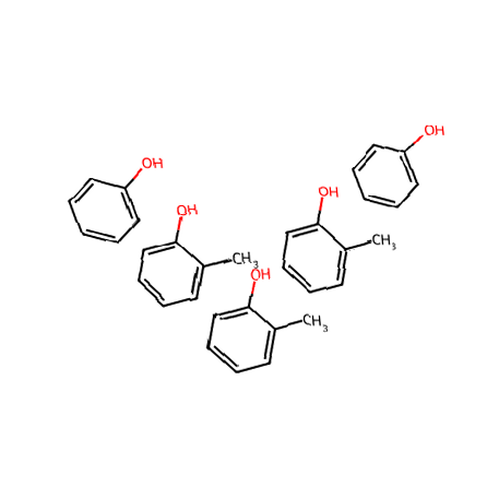 Cc1ccccc1O.Cc1ccccc1O.Cc1ccccc1O.Oc1ccccc1.Oc1ccccc1